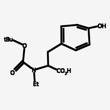 CCN(C(=O)OC(C)(C)C)C(Cc1ccc(O)cc1)C(=O)O